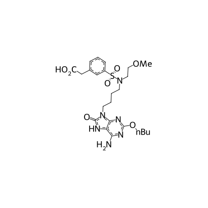 CCCCOc1nc(N)c2[nH]c(=O)n(CCCCN(CCOC)S(=O)(=O)c3cccc(CC(=O)O)c3)c2n1